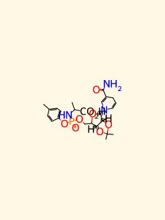 Cc1ccc(OP(=O)(NC(C)C(=O)O)OCC2O[C@@H](N3C=CCC(C(N)=O)=C3)[C@@H]3OC(C)(C)O[C@H]23)cc1